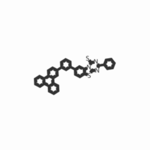 S=c1nc(-c2ccccc2)nc2sc3ccc(-c4cccc(-c5ccc6c7ccccc7c7ccccc7c6c5)c4)cc3n12